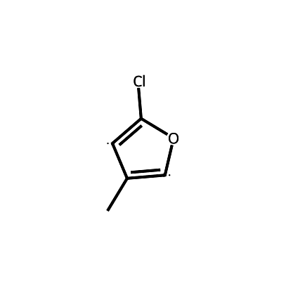 Cc1[c]oc(Cl)[c]1